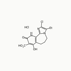 CCc1c(Cl)nc2n1CCCc1c-2[nH]c(=O)c(C(=O)O)c1O.Cl